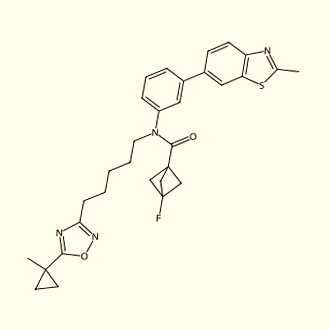 Cc1nc2ccc(-c3cccc(N(CCCCCc4noc(C5(C)CC5)n4)C(=O)C45CC(F)(C4)C5)c3)cc2s1